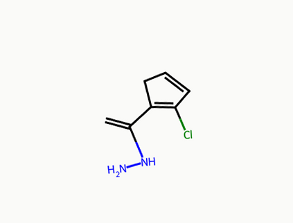 C=C(NN)C1=C(Cl)C=CC1